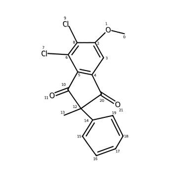 COc1cc2c(c(Cl)c1Cl)C(=O)C(C)(c1ccccc1)C2=O